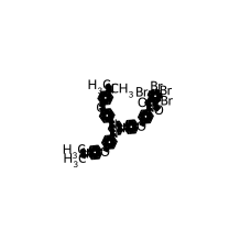 CN(C)c1ccc(Oc2ccc(N3CN(c4ccc(Oc5ccc(N(C)C)cc5)cc4)CN(c4ccc(Oc5ccc(N6C(=O)c7c(Br)c(Br)c(Br)c(Br)c7C6=O)cc5)cc4)C3)cc2)cc1